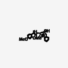 COc1ccc(C(C)NC[C@@H](O)CP(=O)(O)Cc2ccccc2)c(OC)c1